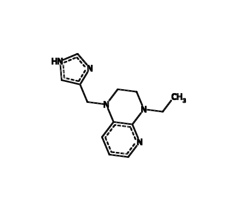 CCN1CCN(Cc2c[nH]cn2)c2cccnc21